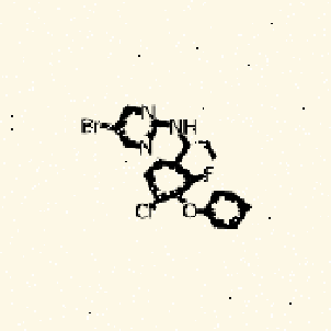 CC[C@@H](Nc1ncc(Br)cn1)c1ccc(Cl)c(Oc2ccccc2)c1F